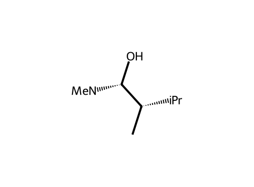 CN[C@H](O)[C@@H](C)C(C)C